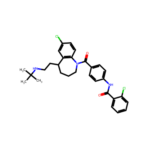 CC(C)(C)NCCC1CCCN(C(=O)c2ccc(NC(=O)c3ccccc3Cl)cc2)c2ccc(Cl)cc21